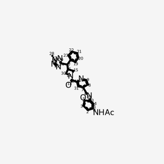 CC(=O)Nc1ccc2oc(-c3ccnc(C(=O)N4CC(C(c5ccccc5)c5nnn(C)n5)C4)c3)nc2c1